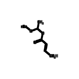 CCCCOC(C)OC(=O)/C=C/C(=O)O